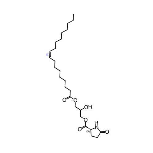 CCCCCCCC/C=C\CCCCCCCC(=O)OCC(O)COC(=O)[C@@H]1CCC(=O)N1